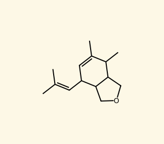 CC(C)=CC1C=C(C)C(C)C2COCC12